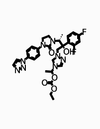 CCOC(=O)OC(C)N1C=NN(C[C@@](O)(c2ccc(F)cc2F)[C@@H](C)N2CCN(c3ccc(-n4ccnn4)cc3)C2=O)C1